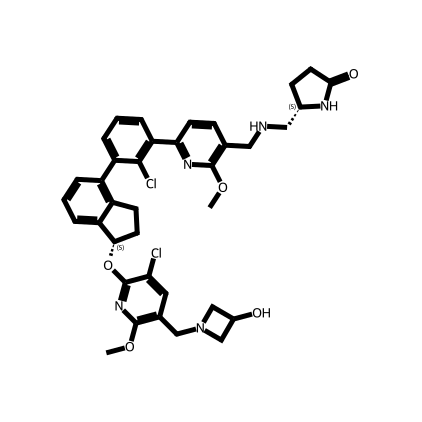 COc1nc(-c2cccc(-c3cccc4c3CC[C@@H]4Oc3nc(OC)c(CN4CC(O)C4)cc3Cl)c2Cl)ccc1CNC[C@@H]1CCC(=O)N1